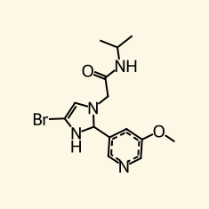 COc1cncc(C2NC(Br)=CN2CC(=O)NC(C)C)c1